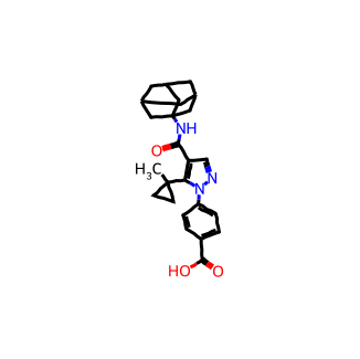 CC1(c2c(C(=O)NC34CC5CC(CC(C5)C3)C4)cnn2-c2ccc(C(=O)O)cc2)CC1